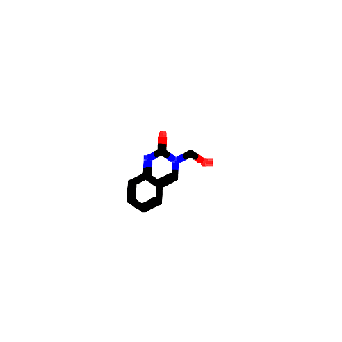 O=c1nc2ccccc2cn1CO